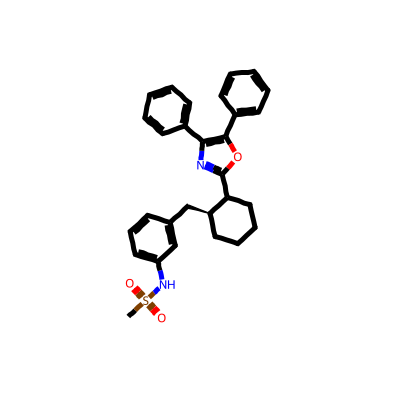 CS(=O)(=O)Nc1cccc(C[C@@H]2CCCCC2c2nc(-c3ccccc3)c(-c3ccccc3)o2)c1